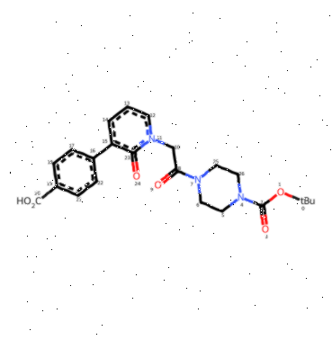 CC(C)(C)OC(=O)N1CCN(C(=O)Cn2cccc(-c3ccc(C(=O)O)cc3)c2=O)CC1